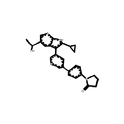 CC(O)c1cnc2[nH]c(C3CC3)c(-c3cncc(-c4ccc(N5CCCC5=O)cc4)c3)c2c1